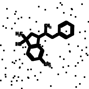 Cc1ccc2c(c1)C(N(C)Cc1ccccc1)CC2(C)O